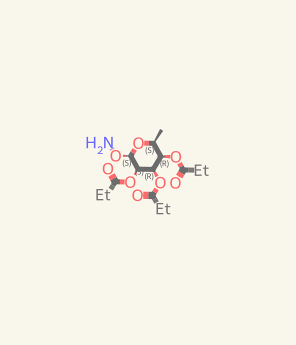 CCC(=O)O[C@H]1[C@H](OC(=O)CC)[C@H](ON)O[C@@H](C)[C@H]1OC(=O)CC